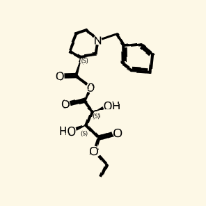 CCOC(=O)[C@@H](O)[C@H](O)C(=O)OC(=O)[C@H]1CCCN(Cc2ccccc2)C1